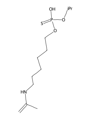 C=C(C)NCCCCCCOP(O)(=S)OC(C)C